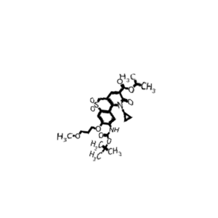 COCCCOc1cc2c(cc1NC(=O)OC(C)(C)C)-c1c(cc(C(=O)OC(C)C)c(=O)n1C1CC1)CS2(=O)=O